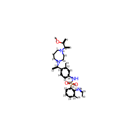 C=C(OC)C(=C)N1CCCN(C(=C)c2ccc(NS(=O)(=O)c3cccc(C)c3/N=C\C)cc2C)CC1